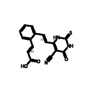 N#Cc1c(/C=C/c2ccccc2/C=C/C(=O)O)[nH]c(=S)[nH]c1=O